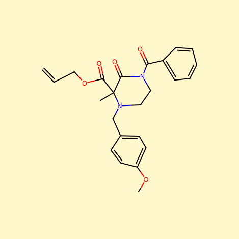 C=CCOC(=O)C1(C)C(=O)N(C(=O)c2ccccc2)CCN1Cc1ccc(OC)cc1